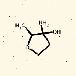 CC1OCCC1(N)O